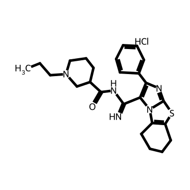 CCCN1CCCC(C(=O)NC(=N)c2c(-c3ccccc3)nc3sc4c(n23)CCCC4)C1.Cl